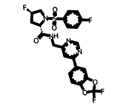 O=C(NCc1cc(-c2ccc3c(c2)OC(F)(F)O3)ncn1)[C@@H]1C[C@@H](F)CN1S(=O)(=O)c1ccc(F)cc1